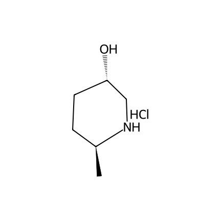 C[C@H]1CC[C@H](O)CN1.Cl